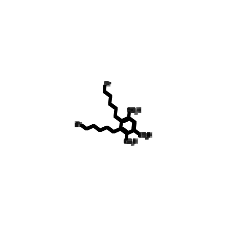 CC(C)CCCCCc1c(C(=O)O)cc(C(=O)O)c(C(=O)O)c1CCCCCC(C)C